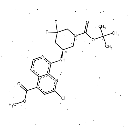 COC(=O)c1cc(Cl)nc2c(N[C@@H]3CN(C(=O)OC(C)(C)C)CC(F)(F)C3)ncnc12